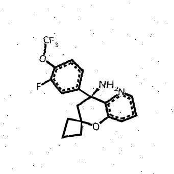 N[C@]1(c2ccc(OC(F)(F)F)c(F)c2)CC2(CCC2)Oc2cccnc21